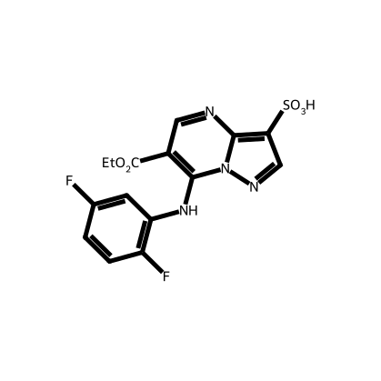 CCOC(=O)c1cnc2c(S(=O)(=O)O)cnn2c1Nc1cc(F)ccc1F